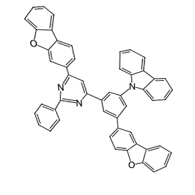 c1ccc(-c2nc(-c3cc(-c4ccc5oc6ccccc6c5c4)cc(-n4c5ccccc5c5ccccc54)c3)cc(-c3ccc4c(c3)oc3ccccc34)n2)cc1